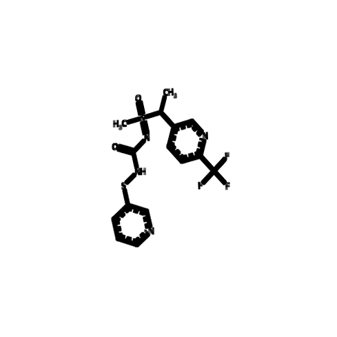 CC(c1ccc(C(F)(F)F)nc1)S(C)(=O)=NC(=O)NSc1cccnc1